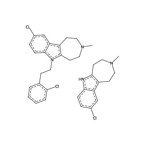 CN1CCc2[nH]c3ccc(Cl)cc3c2CC1.CN1CCc2c(n(CCc3ccccc3Cl)c3ccc(Cl)cc23)CC1